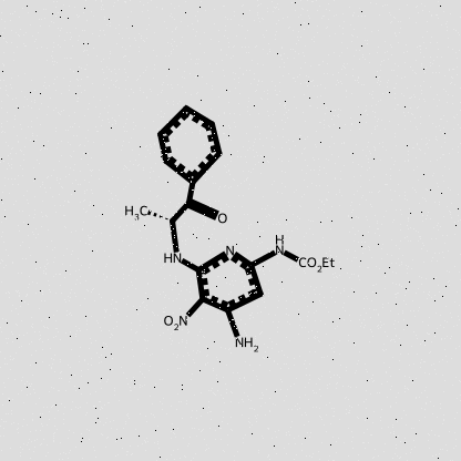 CCOC(=O)Nc1cc(N)c([N+](=O)[O-])c(N[C@H](C)C(=O)c2ccccc2)n1